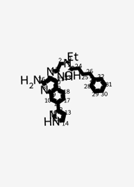 CCN(Cc1nc2c(N)nc3cc(-c4cc[nH]n4)ccc3c2[nH]1)C(O)CCCc1ccccc1